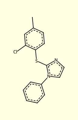 Cc1ccc(Sc2nccn2-c2ccccc2)c(Cl)c1